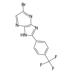 FC(F)(F)c1ccc(-c2nc3nc(Br)cnc3[nH]2)cc1